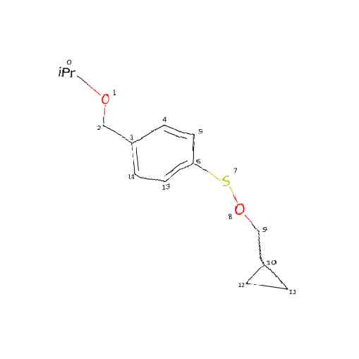 CC(C)OCc1ccc(SOCC2CC2)cc1